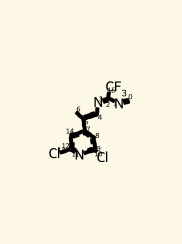 C=N/C(=N\C=C(/C)c1cc(Cl)nc(Cl)c1)C(F)(F)F